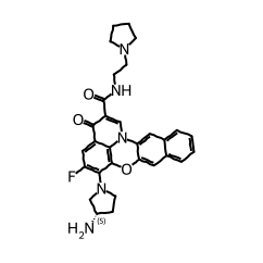 N[C@H]1CCN(c2c(F)cc3c(=O)c(C(=O)NCCN4CCCC4)cn4c3c2Oc2cc3ccccc3cc2-4)C1